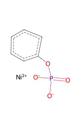 O=P([O-])([O-])Oc1ccccc1.[Ni+2]